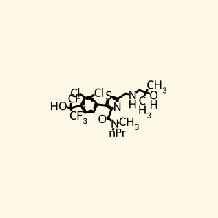 CCCN(C)C(=O)c1nc(CNCC(C)(C)O)sc1-c1ccc(C(O)(C(F)(F)F)C(F)(F)F)c(Cl)c1Cl